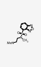 CNCCN(C)S(=O)(=O)c1cccc2nonc12